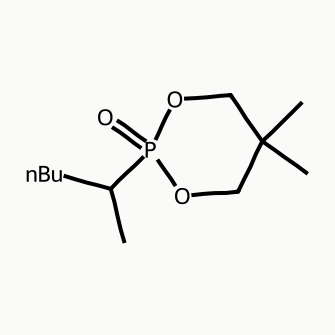 CCCCC(C)P1(=O)OCC(C)(C)CO1